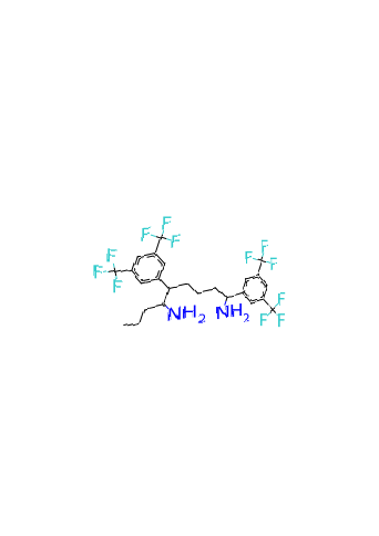 CCCC(N)C(CCCC(N)c1cc(C(F)(F)F)cc(C(F)(F)F)c1)c1cc(C(F)(F)F)cc(C(F)(F)F)c1